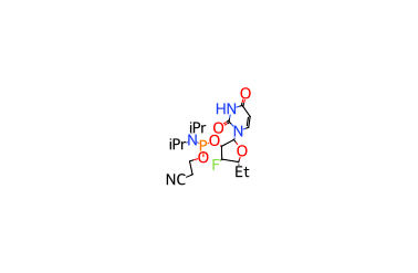 CC[C@H]1O[C@@H](n2ccc(=O)[nH]c2=O)[C@@H](OP(OCCC#N)N(C(C)C)C(C)C)C1F